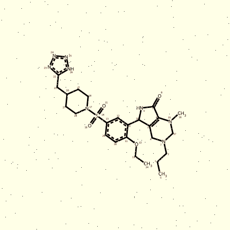 CCCN1CC2=C(C(=O)NC2c2cc(S(=O)(=O)N3CCC(Cc4nnn[nH]4)CC3)ccc2OCC)N(C)C1